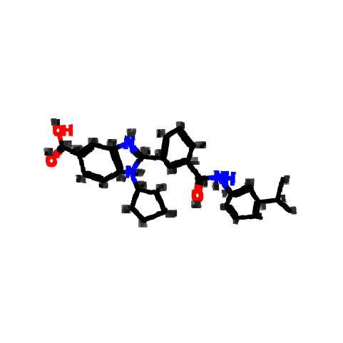 CC(C)c1cccc(NC(=O)c2cccc(-c3nc4cc(C(=O)O)ccc4n3C3CCCC3)c2)c1